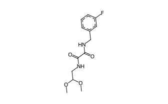 COC(CNC(=O)C(=O)NCc1cccc(F)c1)OC